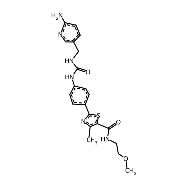 COCCNC(=O)c1sc(-c2ccc(NC(=O)NCc3ccc(N)nc3)cc2)nc1C